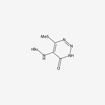 CCCCNc1c(SC)nn[nH]c1=O